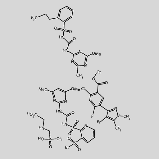 CC(C)OC(=O)c1cc(-c2nn(C)c(C(F)(F)F)c2Br)c(F)cc1Cl.CCS(=O)(=O)c1cccnc1S(=O)(=O)NC(=O)Nc1nc(OC)cc(OC)n1.COc1nc(C)nc(NC(=O)NS(=O)(=O)c2ccccc2CCC(F)(F)F)n1.O=C(O)CNCP(=O)(O)O